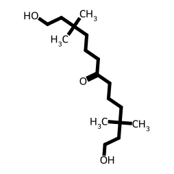 CC(C)(CCO)CCCC(=O)CCCC(C)(C)CCO